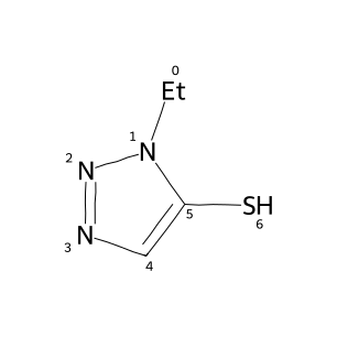 CCn1nncc1S